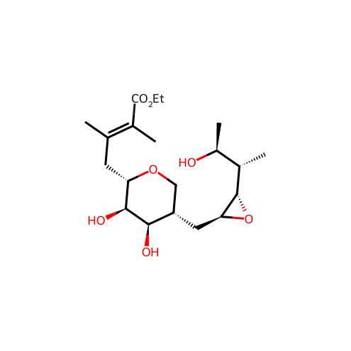 CCOC(=O)C(C)=C(C)C[C@@H]1OC[C@H](C[C@@H]2O[C@H]2[C@@H](C)[C@H](C)O)[C@@H](O)[C@H]1O